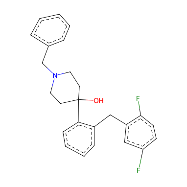 OC1(c2ccccc2Cc2cc(F)ccc2F)CCN(Cc2ccccc2)CC1